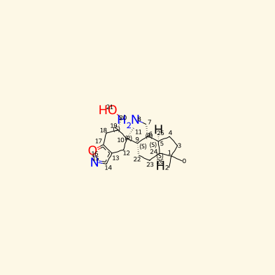 CC1(C)CC[C@@H]2[C@@H](CN)[C@@H]([C@@]3(C)Cc4cnoc4C[C@@H]3CO)CC[C@@H]21